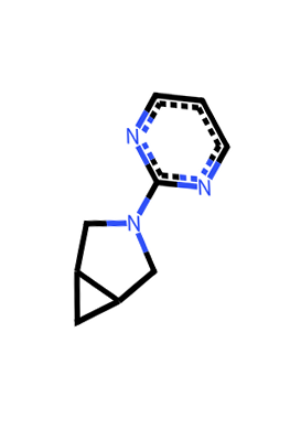 c1cnc(N2CC3CC3C2)nc1